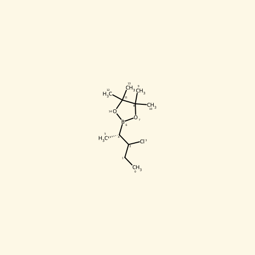 CCC(Cl)[C@H](C)B1OC(C)(C)C(C)(C)O1